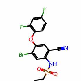 CCS(=O)(=O)Nc1cc(Br)c(Oc2ccc(F)cc2F)cc1C#N